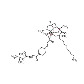 CO[C@@H]1CC[C@@]23C[C@@H]4C[C@@H](C)[C@@](C)([C@H](OC(=O)CSC5CCN(C(=O)CNC(=O)OC(C)(C)C)CC5)C[C@](C)(CCCCCCCCN)C(=O)[C@@H]2C)[C@]413